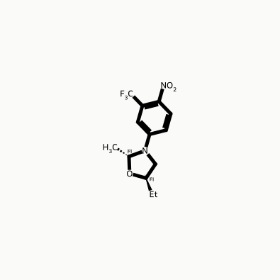 CC[C@@H]1CN(c2ccc([N+](=O)[O-])c(C(F)(F)F)c2)[C@@H](C)O1